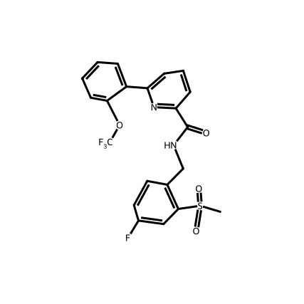 CS(=O)(=O)c1cc(F)ccc1CNC(=O)c1cccc(-c2ccccc2OC(F)(F)F)n1